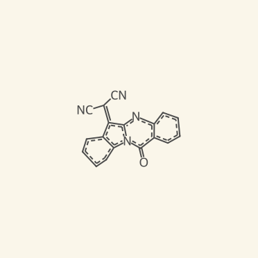 N#CC(C#N)=c1c2ccccc2n2c(=O)c3ccccc3nc12